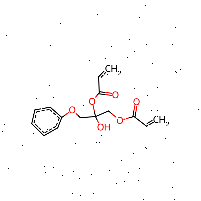 C=CC(=O)OCC(O)(COc1ccccc1)OC(=O)C=C